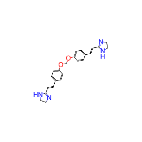 C(=C\c1ccc(OCOc2ccc(/C=C/C3=NCCN3)cc2)cc1)/C1=NCCN1